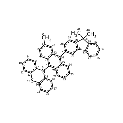 Cc1ccc2c(N3c4ccccc4Sc4ccccc43)c3ccccc3c(-c3ccc4c(c3)-c3ccccc3C4(C)C)c2c1